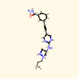 CCCn1cc(Nc2ncc(C#Cc3cccc(C(N)=O)c3)cn2)cn1